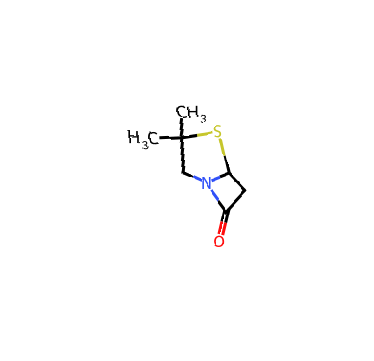 CC1(C)CN2C(=O)CC2S1